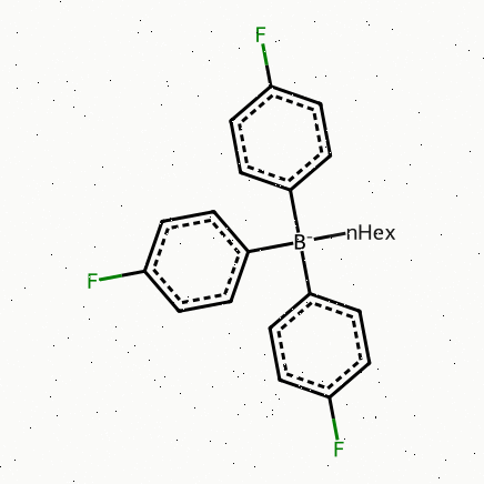 CCCCCC[B-](c1ccc(F)cc1)(c1ccc(F)cc1)c1ccc(F)cc1